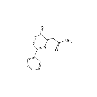 NC(=O)Cn1nc(-c2ccccc2)ccc1=O